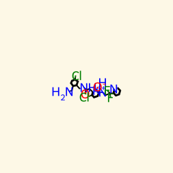 NCc1ccc(Cl)cc1CNC(=O)Cc1c(Cl)ccc(NCC(F)(F)c2ccccn2)[n+]1[O-]